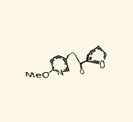 COc1ccc(CC(=O)c2ccco2)cn1